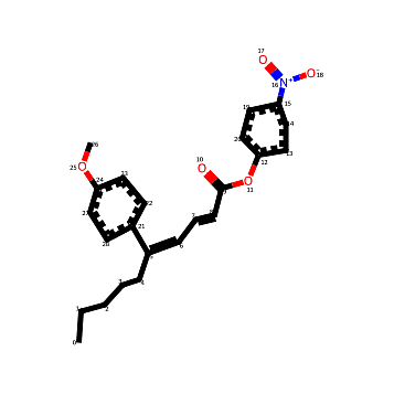 CCCCCC(=CC=CC(=O)Oc1ccc([N+](=O)[O-])cc1)c1ccc(OC)cc1